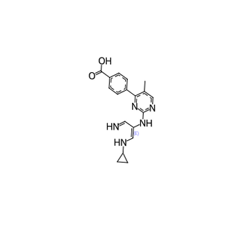 Cc1cnc(N/C(C=N)=C/NC2CC2)nc1-c1ccc(C(=O)O)cc1